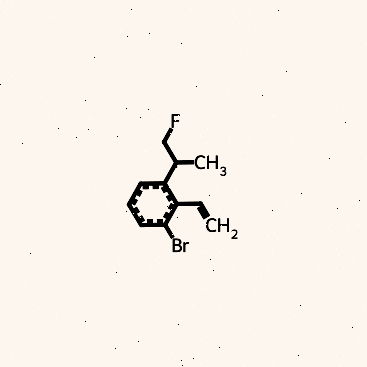 C=Cc1c(Br)cccc1[C](C)CF